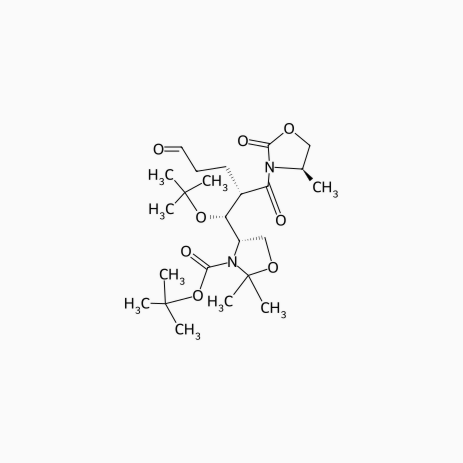 C[C@@H]1COC(=O)N1C(=O)[C@@H](CCC=O)[C@@H](OC(C)(C)C)[C@@H]1COC(C)(C)N1C(=O)OC(C)(C)C